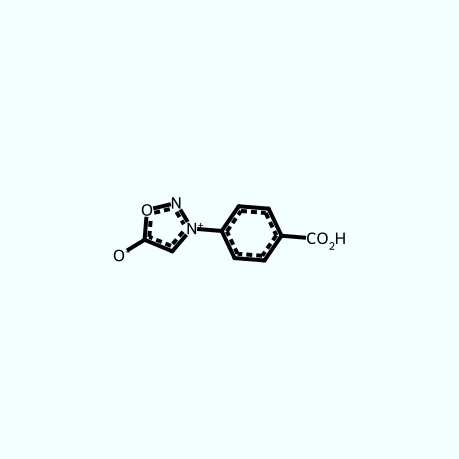 O=C(O)c1ccc(-[n+]2cc([O-])on2)cc1